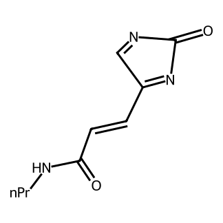 CCCNC(=O)C=CC1=NC(=O)N=C1